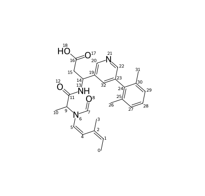 C/C=C(C)\C=C/N(C=O)C(C)C(=O)NC(CC(=O)O)c1cncc(-c2c(C)cccc2C)c1